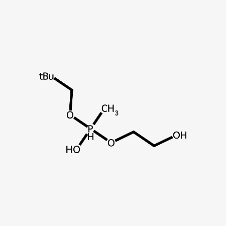 CC(C)(C)CO[PH](C)(O)OCCO